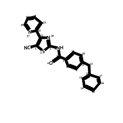 N#Cc1sc(NC(=O)c2ccc(Cc3ccccc3)cc2)nc1-c1ccccn1